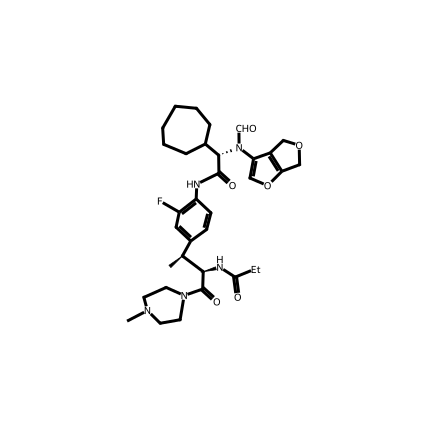 CCC(=O)N[C@@H](C(=O)N1CCN(C)CC1)[C@@H](C)c1ccc(NC(=O)[C@H](C2CCCCCC2)N(C=O)c2coc3c2COC3)c(F)c1